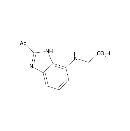 CC(=O)c1nc2cccc(NCC(=O)O)c2[nH]1